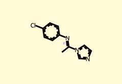 C/C(=N\c1ccc(Cl)cc1)n1ccnc1